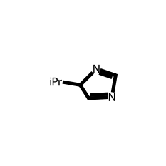 CC(C)C1C=NC=N1